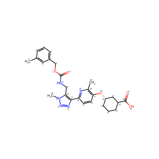 Cc1cccc(COC(=O)NCc2c(-c3ccc(O[C@H]4CCCC(C(=O)O)C4)c(C)n3)nnn2C)c1